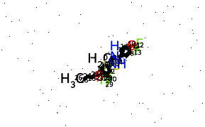 C=C(N/C(=C\S)c1ccc(OC(F)F)cc1)Nc1ccc(OCCCCC)c(C(F)(F)F)c1